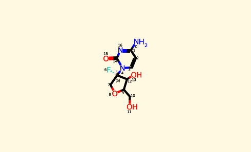 Nc1ccn([C@]2(F)COC(CO)C2O)c(=O)n1